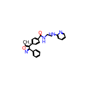 Cc1onc(-c2ccccc2)c1-c1ccc(C(=O)NCCNc2ccccn2)cc1